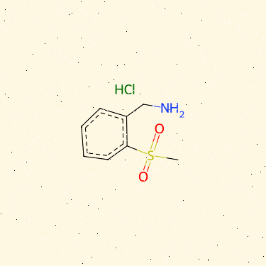 CS(=O)(=O)c1ccccc1CN.Cl